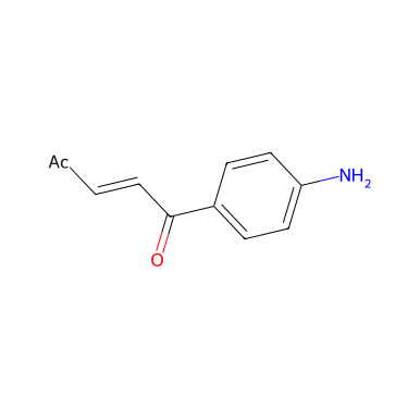 CC(=O)C=CC(=O)c1ccc(N)cc1